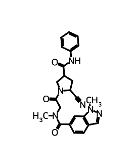 CN(CC(=O)N1CC(C(=O)Nc2ccccc2)CC1C#N)C(=O)c1ccc2cnn(C)c2c1